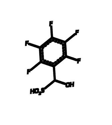 O=S(=O)(O)C(O)c1c(F)c(F)c(F)c(F)c1F